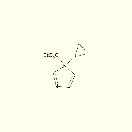 CCOC(=O)[N+]1(C2CC2)C=CN=C1